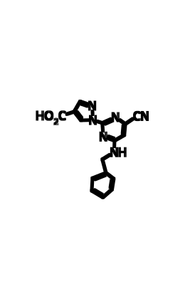 N#Cc1cc(NCc2ccccc2)nc(-n2cc(C(=O)O)cn2)n1